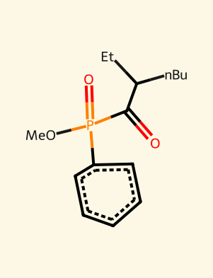 CCCCC(CC)C(=O)P(=O)(OC)c1ccccc1